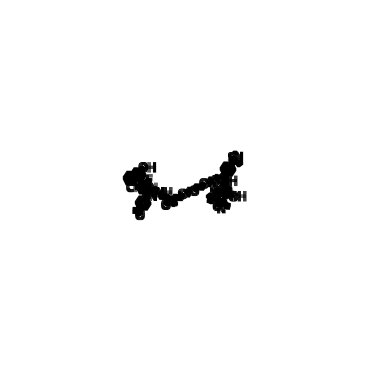 CC(=O)N1CCN(c2nc(NCCC(=O)N(C)CCOCCOCCOCCOC[C@H](NC(=O)[C@@H]3C[C@@H](O)CN3C(=O)[C@H](c3cc(C)no3)C(C)C)c3ccc(-c4scnc4C)cc3)nc3c(F)c(-c4cc(O)cc5ccccc45)c(Cl)cc23)CC1